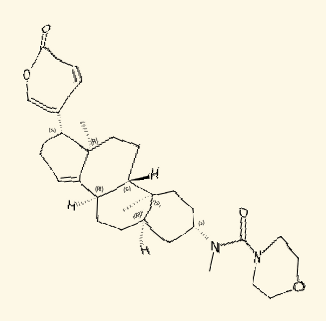 CN(C(=O)N1CCOCC1)[C@H]1CC[C@@]2(C)[C@H](CC[C@H]3C4=CC[C@H](c5ccc(=O)oc5)[C@@]4(C)CC[C@@H]32)C1